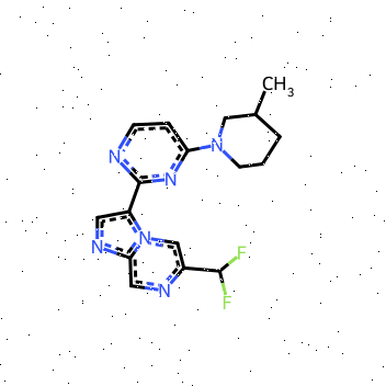 CC1CCCN(c2ccnc(-c3cnc4cnc(C(F)F)cn34)n2)C1